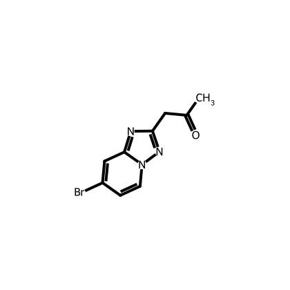 CC(=O)Cc1nc2cc(Br)ccn2n1